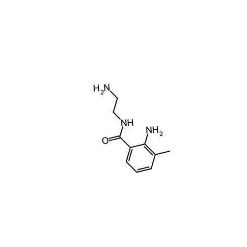 Cc1cccc(C(=O)NCCN)c1N